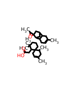 CC1=CCC2(CCCC(C)(C)C2CC(=O)O)C(C)C1.CC1=CCC2C(C1)C1CC2C2(C1)OC2C